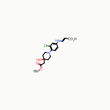 CC(C)(C)OC(=O)CC1(O)CCN(c2ccc(N/C=C/C(=O)O)cc2Cl)CC1